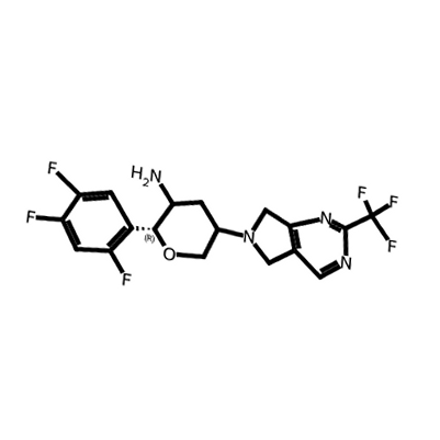 NC1CC(N2Cc3cnc(C(F)(F)F)nc3C2)CO[C@@H]1c1cc(F)c(F)cc1F